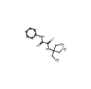 O=C(Nc1ccccc1)C(=O)NC(CO)(CO)CO